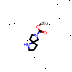 CC(C)(C)OC(=O)N1CCC2(CCCN2)C1